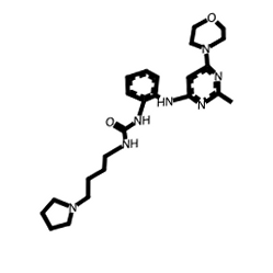 Cc1nc(Nc2ccccc2NC(=O)NCCCCN2CCCC2)cc(N2CCOCC2)n1